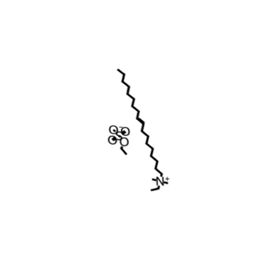 CCCCCCCCC=CCCCCCCCC[N+](C)(C)CC.CCOS(=O)(=O)[O-]